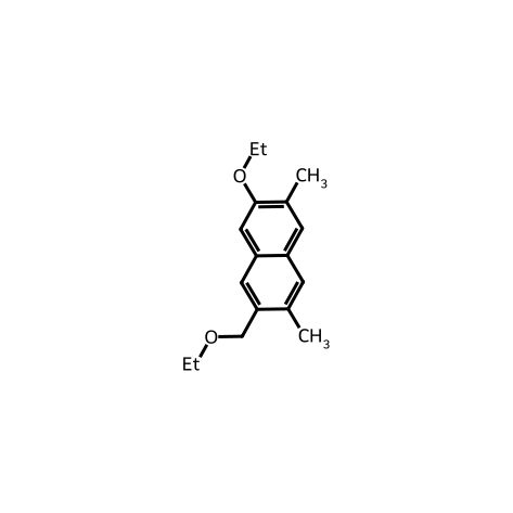 CCOCc1cc2cc(OCC)c(C)cc2cc1C